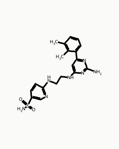 Cc1cccc(-c2cc(NCCNc3ccc(S(N)(=O)=O)cn3)nc(N)n2)c1C